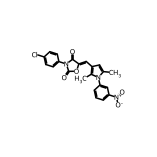 Cc1cc(C=C2OC(=O)N(c3ccc(Cl)cc3)C2=O)c(C)n1-c1cccc([N+](=O)[O-])c1